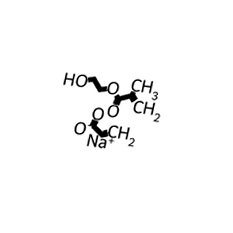 C=C(C)C(=O)OCCO.C=CC(=O)[O-].[Na+]